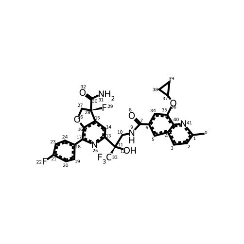 Cc1ccc2cc(C(=O)NC[C@](O)(c3cc4c(c(-c5ccc(F)cc5)n3)OC[C@]4(F)C(N)=O)C(F)(F)F)cc(OC3CC3)c2n1